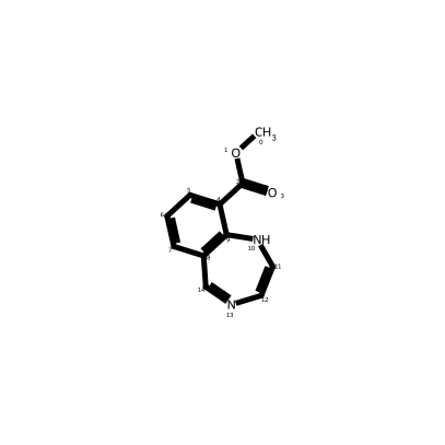 COC(=O)c1cccc2c1NC=CN=C2